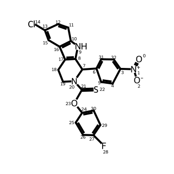 O=[N+]([O-])c1ccc(C2c3[nH]c4ccc(Cl)cc4c3CCN2C(=S)Oc2ccc(F)cc2)cc1